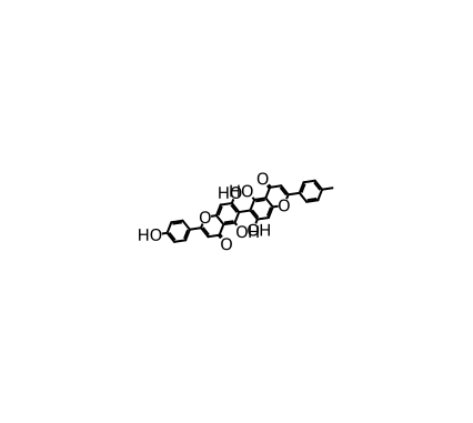 Cc1ccc(-c2cc(=O)c3c(O)c(-c4c(O)cc5oc(-c6ccc(O)cc6)cc(=O)c5c4O)c(O)cc3o2)cc1